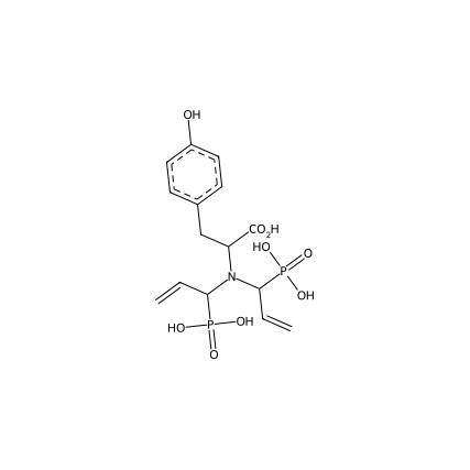 C=CC(N(C(Cc1ccc(O)cc1)C(=O)O)C(C=C)P(=O)(O)O)P(=O)(O)O